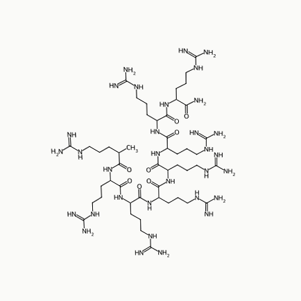 CC(CCCNC(=N)N)C(=O)NC(CCCNC(=N)N)C(=O)NC(CCCNC(=N)N)C(=O)NC(CCCNC(=N)N)C(=O)NC(CCCNC(=N)N)C(=O)NC(CCCNC(=N)N)C(=O)NC(CCCNC(=N)N)C(=O)NC(CCCNC(=N)N)C(N)=O